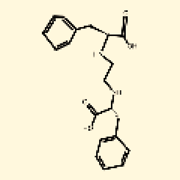 O=C(O)[C@H](Cc1ccccc1)NCCN[C@H](Cc1ccccc1)C(=O)O